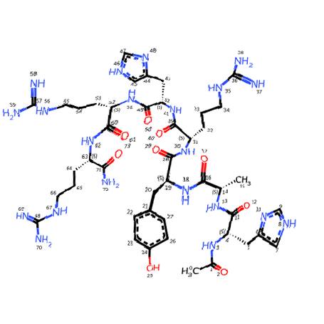 CC(=O)N[C@@H](Cc1c[nH]cn1)C(=O)N[C@@H](C)C(=O)N[C@@H](Cc1ccc(O)cc1)C(=O)N[C@@H](CCCNC(=N)N)C(=O)N[C@@H](Cc1c[nH]cn1)C(=O)N[C@@H](CCCNC(=N)N)C(=O)N[C@@H](CCCNC(=N)N)C(N)=O